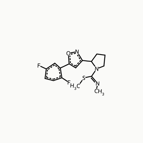 CN=C(SC)N1CCCC1c1cc(-c2cc(F)ccc2F)on1